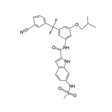 CC(C)COc1cc(NC(=O)c2cc3ccc(NS(C)(=O)=O)cc3[nH]2)cc(C(F)(F)c2cccc(C#N)c2)c1